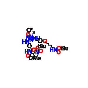 COC(=O)C(NC(=O)c1ccc(Nc2nc(NCc3ccc(OCCCCCCNC(=O)OC(C)(C)C)cc3)nc(OCC(F)(F)F)n2)cc1)C1CCCN(C(=O)OC(C)(C)C)C1